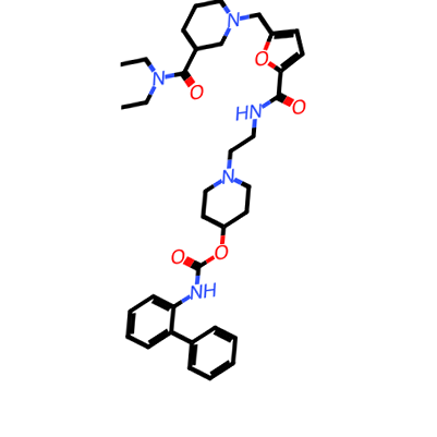 CCN(CC)C(=O)C1CCCN(Cc2ccc(C(=O)NCCN3CCC(OC(=O)Nc4ccccc4-c4ccccc4)CC3)o2)C1